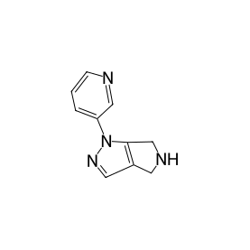 c1cncc(-n2ncc3c2CNC3)c1